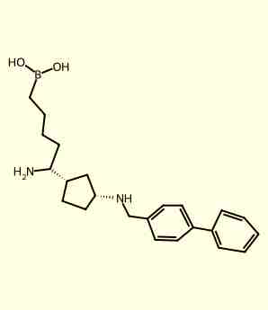 NC(CCCCB(O)O)[C@H]1CC[C@@H](NCc2ccc(-c3ccccc3)cc2)C1